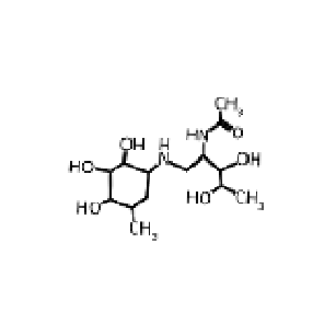 CC(=O)NC(CNC1CC(C)C(O)C(O)C1O)C(O)C(C)O